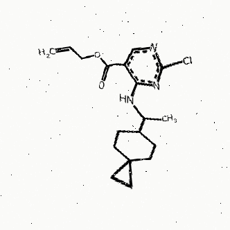 C=CCOC(=O)c1cnc(Cl)nc1NC(C)C1CCC2(CC1)CC2